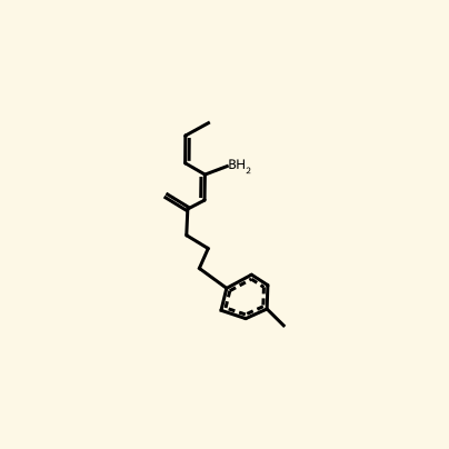 BC(/C=C\C)=C/C(=C)CCCc1ccc(C)cc1